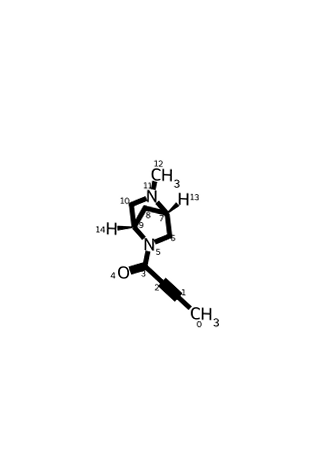 CC#CC(=O)N1C[C@@H]2C[C@H]1CN2C